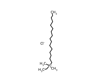 CCCCCCCCCCCCCCCC[P+](C)(C)CC.[Cl-]